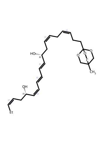 CC/C=C\C[C@H](O)\C=C/C=C/C=C/[C@H](O)C/C=C\C/C=C\CCC12OCC(C)(CO1)CO2